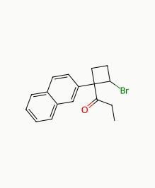 CCC(=O)C1(c2ccc3ccccc3c2)CCC1Br